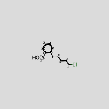 O=S(=O)(O)c1ccccc1CCCCCCl